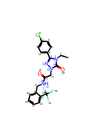 CCn1c(-c2ccc(Cl)cc2)nn(CC(=O)NCc2ccccc2C(F)(F)F)c1=O